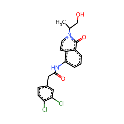 CC(CO)n1ccc2c(NC(=O)Cc3ccc(Cl)c(Cl)c3)cccc2c1=O